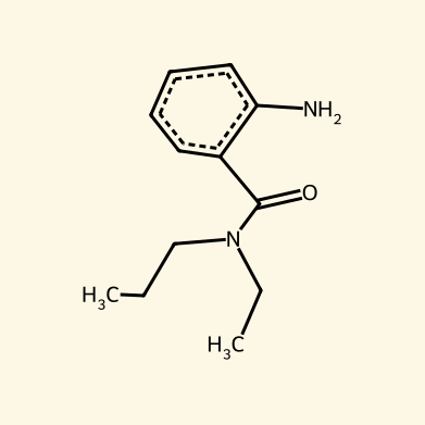 CCCN(CC)C(=O)c1ccccc1N